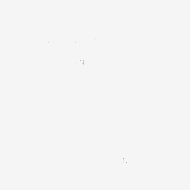 CS(=O)(=O)Nc1cccc(C2C3CCC2CNC3)c1